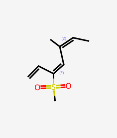 C=C/C(=C\C(C)=C/C)S(C)(=O)=O